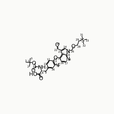 CC(C)(C)OC(=O)N[C@@H](Cc1ccc(Oc2ccnc3c2c(C=O)cn3COCCS(C)(C)C)c(F)c1)C(=O)O